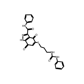 O=C(NCCCSC1=CC(=O)c2[nH]nc(C(=O)Nc3ccccc3)c2C1=O)Nc1ccccc1